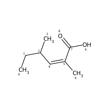 CCC(C)C=C(C)C(=O)O